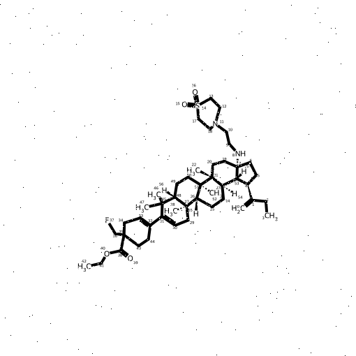 C=C(CC)[C@@H]1CC[C@]2(NCCN3CCS(=O)(=O)CC3)CC[C@]3(C)[C@H](CC[C@@H]4[C@@]5(C)CC=C(C6=CCC(CF)(C(=O)OCC)CC6)C(C)(C)[C@@H]5CC[C@]43C)[C@@H]12